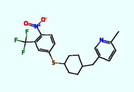 Cc1ccc(CC2CCC(Sc3ccc([N+](=O)[O-])c(C(F)(F)F)c3)CC2)cn1